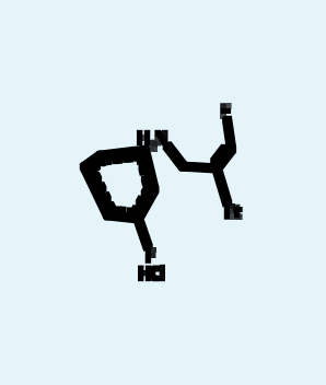 CCC(=CF)CN.Cl.Fc1ccccc1